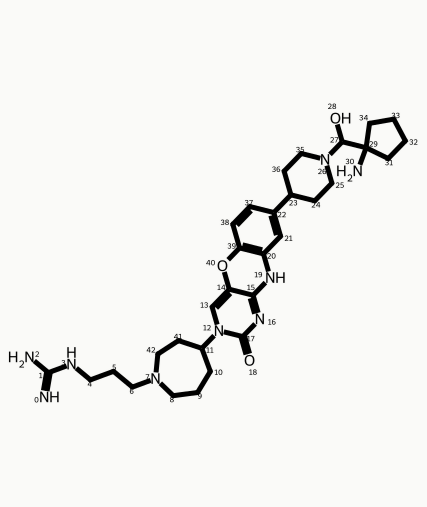 N=C(N)NCCCN1CCCC(n2cc3c(nc2=O)Nc2cc(C4CCN(C(O)C5(N)CCCC5)CC4)ccc2O3)CC1